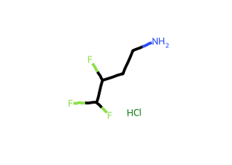 Cl.NCCC(F)C(F)F